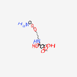 CC(=O)Oc1ccc([C@@H](O)CNCCCCCCOCCOCc2cccc(N)c2)cc1CO